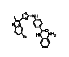 Cc1nc2ccc(Br)cn2c1-c1csc(Nc2ccc(C(=O)Nc3ccccc3N)cc2)n1